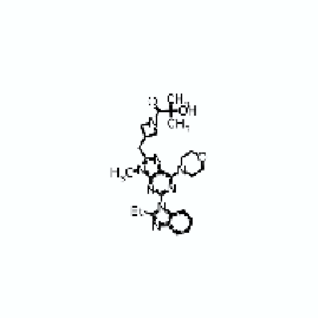 CCc1nc2ccccc2n1-c1nc(N2CCOCC2)c2nc(CC3CN(C(=O)C(C)(C)O)C3)n(C)c2n1